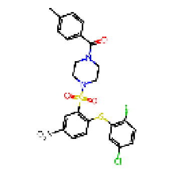 Cc1ccc(C(=O)N2CCN(S(=O)(=O)c3cc([N+](=O)[O-])ccc3Sc3cc(Cl)ccc3Cl)CC2)cc1